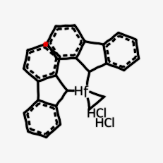 Cl.Cl.c1ccc2c(c1)-c1ccccc1[CH]2[Hf]1([CH]2c3ccccc3-c3ccccc32)[CH2][CH2]1